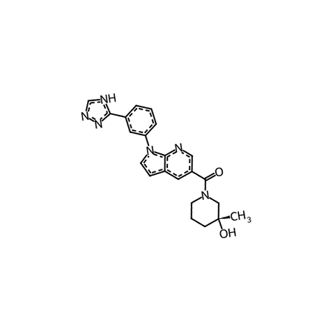 C[C@@]1(O)CCCN(C(=O)c2cnc3c(ccn3-c3cccc(-c4nnc[nH]4)c3)c2)C1